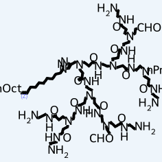 CCCCCCCC/C=C\CCCCCCCCn1cc(CN(CCC(=O)NCCN(CCC(=O)NCCN(CCC)CCC(=O)NCCN)CCC(=O)NCCN(CCC=O)CCC(=O)NCCN)CCC(=O)NCCN(CCC(=O)NCCN(CCC=O)CCC(=O)NCCN)CCC(=O)NCCN(CCC(=O)NCCN)CCC(=O)NCCN)nn1